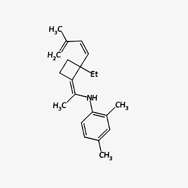 C=C(C)/C=C\C1(CC)CC/C1=C(\C)Nc1ccc(C)cc1C